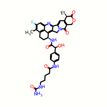 CC[C@H]1C(=O)OCc2c1cc1n(c2=O)Cc2c-1nc1cc(F)c(C)c3c1c2[C@@H](NC(=O)C(O)c1ccc(NC(=O)CCCCNC(N)=O)cc1)CC3